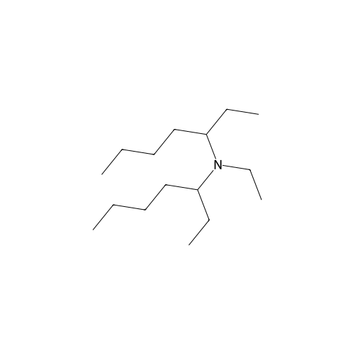 CCCCC(CC)N(CC)C(CC)CCCC